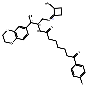 CCCC1CC/C1=N/C[C@@H](NC(=O)CCCCCC(=O)c1ccc(F)cc1)[C@H](O)c1ccc2c(c1)OCCO2